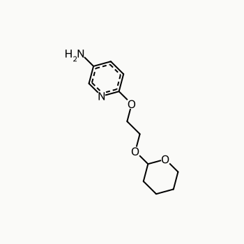 Nc1ccc(OCCOC2CCCCO2)nc1